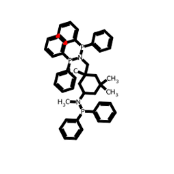 CN(C1CC(C)(C)CC(C)(CN(P(c2ccccc2)c2ccccc2)P(c2ccccc2)c2ccccc2)C1)P(c1ccccc1)c1ccccc1